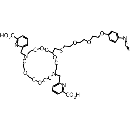 O=C(O)c1cccc(CN2CCOCCOCCN(Cc3cccc(C(=O)O)n3)CCOC(CSCCOCCOCCOc3ccc(N=C=S)cc3)COCC2)n1